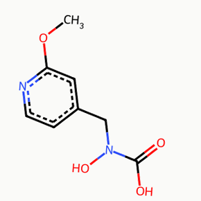 COc1cc(CN(O)C(=O)O)ccn1